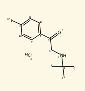 CC(C)(C)NCC(=O)c1ccc(I)cc1.Cl